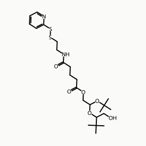 CC(C)(C)OC(COC(=O)CCCC(=O)NCCSSc1ccccn1)OC(CO)C(C)(C)C